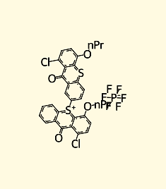 CCCOc1ccc(Cl)c2c(=O)c3cc(-[s+]4c5ccccc5c(=O)c5c(Cl)ccc(OCCC)c54)ccc3sc12.F[P-](F)(F)(F)(F)F